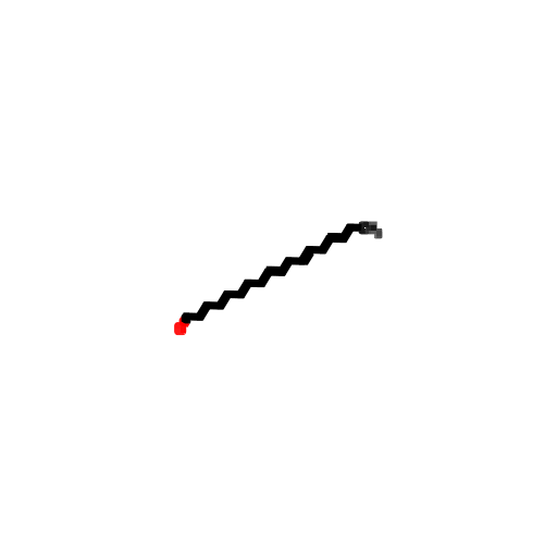 CC/C=C/C/C=C/C/C=C/CCCCCCCC=O